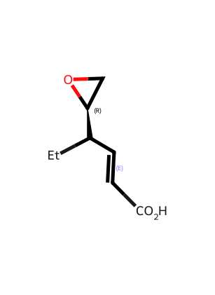 CCC(/C=C/C(=O)O)[C@@H]1CO1